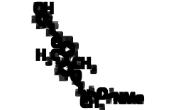 CNCCOCCN(C)CCCOc1cccc(-c2cccc(OCCCN3CC[C@@H](O)C3)c2C)c1C